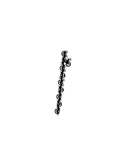 COCCOCCOCCOCCOCCOCCOCCN(CCOC)C(C)=O